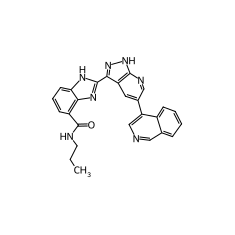 CCCNC(=O)c1cccc2[nH]c(-c3n[nH]c4ncc(-c5cncc6ccccc56)cc34)nc12